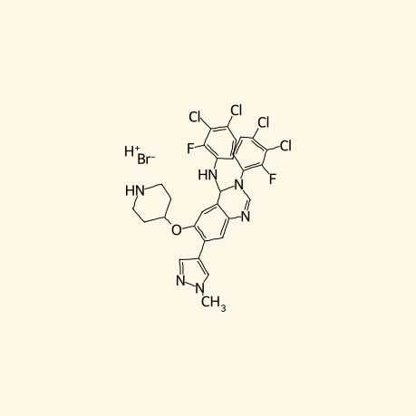 Cn1cc(-c2cc3c(cc2OC2CCNCC2)C(Nc2ccc(Cl)c(Cl)c2F)N(c2ccc(Cl)c(Cl)c2F)C=N3)cn1.[Br-].[H+]